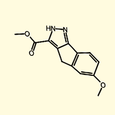 COC(=O)c1[nH]nc2c1Cc1cc(OC)ccc1-2